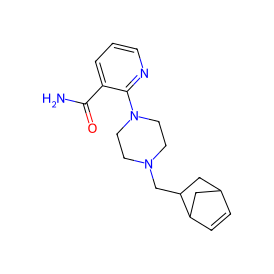 NC(=O)c1cccnc1N1CCN(CC2CC3C=CC2C3)CC1